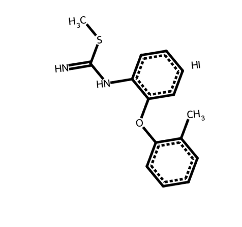 CSC(=N)Nc1ccccc1Oc1ccccc1C.I